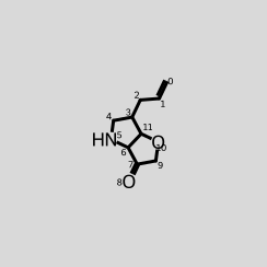 C=CCC1CNC2C(=O)COC12